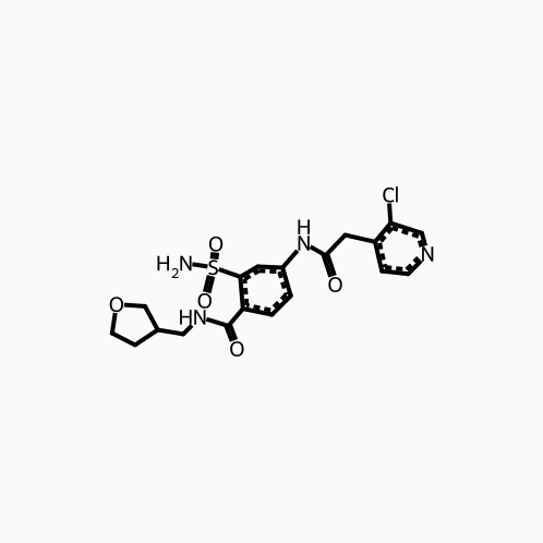 NS(=O)(=O)c1cc(NC(=O)Cc2ccncc2Cl)ccc1C(=O)NCC1CCOC1